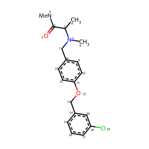 CNC(=O)C(C)N(C)Cc1ccc(OCc2cccc(Cl)c2)cc1